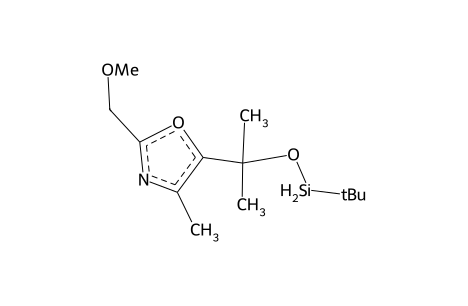 COCc1nc(C)c(C(C)(C)O[SiH2]C(C)(C)C)o1